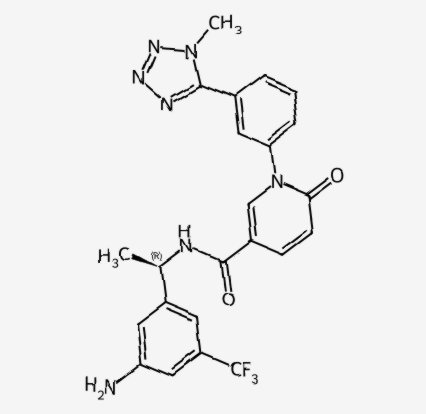 C[C@@H](NC(=O)c1ccc(=O)n(-c2cccc(-c3nnnn3C)c2)c1)c1cc(N)cc(C(F)(F)F)c1